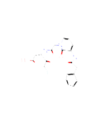 C[C@@H](C(=O)NC(CC(=O)O)C(=O)CF)n1cccc(NC(=O)Cc2ccccc2)c1=O